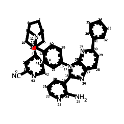 N#Cc1cc(N2CC3CCC(C2)N3Cc2ccc(-n3c(-c4cccnc4N)nc4ccc(-c5ccccc5)nc43)cc2)ncn1